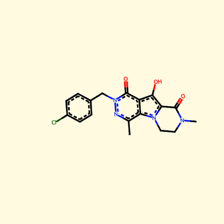 Cc1nn(Cc2ccc(Cl)cc2)c(=O)c2c(O)c3n(c12)CCN(C)C3=O